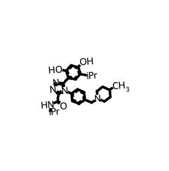 CC1CCN(Cc2ccc(-n3c(C(=O)NC(C)C)nnc3-c3cc(C(C)C)c(O)cc3O)cc2)CC1